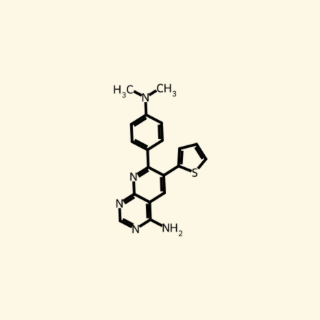 CN(C)c1ccc(-c2nc3ncnc(N)c3cc2-c2cccs2)cc1